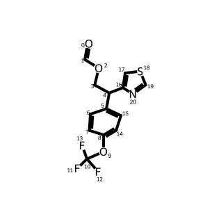 O=COCC(c1ccc(OC(F)(F)F)cc1)c1cscn1